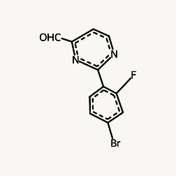 O=Cc1ccnc(-c2ccc(Br)cc2F)n1